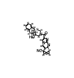 N#CC1(c2cnc3nc(C(=O)N4CC[C@]5(Cc6ccccc6CN5)[C@H](O)C4)cn3c2)CC12CC2